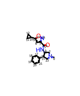 CN1C[C@H](NC(=O)c2cc(C3CC3)on2)[C@H](c2ccccc2)C1